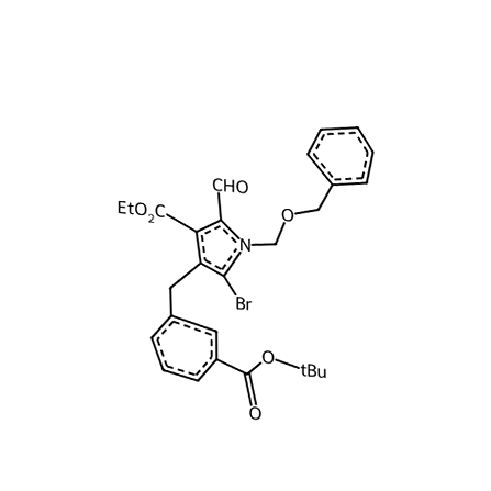 CCOC(=O)c1c(Cc2cccc(C(=O)OC(C)(C)C)c2)c(Br)n(COCc2ccccc2)c1C=O